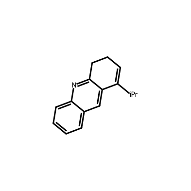 CC(C)C1=CCCc2nc3ccccc3cc21